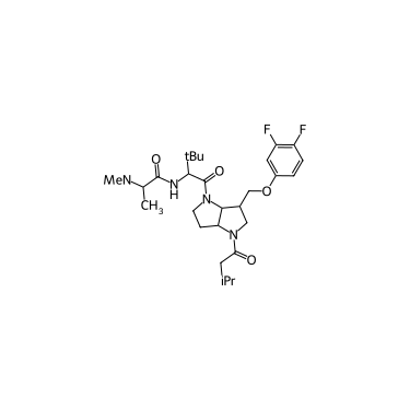 CNC(C)C(=O)NC(C(=O)N1CCC2C1C(COc1ccc(F)c(F)c1)CN2C(=O)CC(C)C)C(C)(C)C